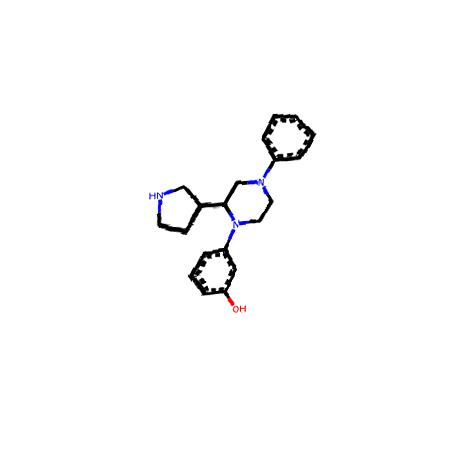 Oc1cccc(N2CCN(c3ccccc3)CC2C2CCNC2)c1